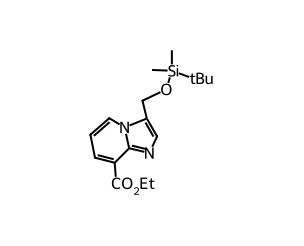 CCOC(=O)c1cccn2c(CO[Si](C)(C)C(C)(C)C)cnc12